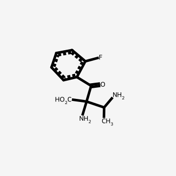 CC(N)C(N)(C(=O)O)C(=O)c1ccccc1F